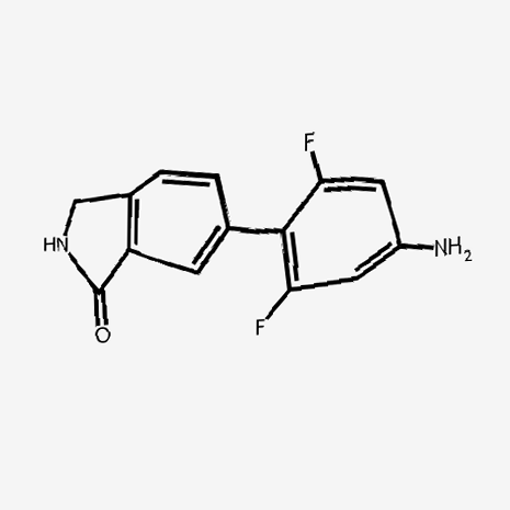 Nc1cc(F)c(-c2ccc3c(c2)C(=O)NC3)c(F)c1